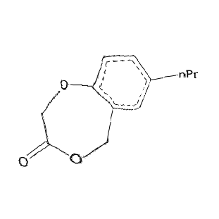 CCCc1ccc2c(c1)COC(=O)CO2